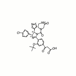 CC(C)(C)Oc1cc(C(=O)CC(=O)O)ccc1C1=N[C@@H](c2ccc(Cl)cc2)[C@@H](c2cnsc2)N1C(=O)N1CCNC(=O)C1